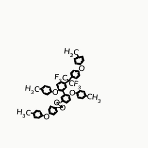 Cc1ccc(Oc2ccc(C(c3ccc(Oc4ccc(C)cc4)c(-c4cc(S(=O)(=O)c5ccc(Oc6ccc(C)cc6)cc5)ccc4Oc4ccc(C)cc4)c3)(C(F)(F)F)C(F)(F)F)cc2)cc1